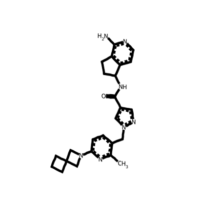 Cc1nc(N2CC3(CCC3)C2)ccc1Cn1cc(C(=O)NC2CCc3c2ccnc3N)cn1